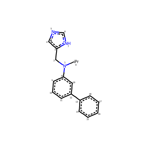 CC(C)N(Cc1cnc[nH]1)c1cccc(-c2ccccc2)c1